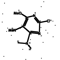 CNc1c(OC)nc(Cl)nc1N(C)C